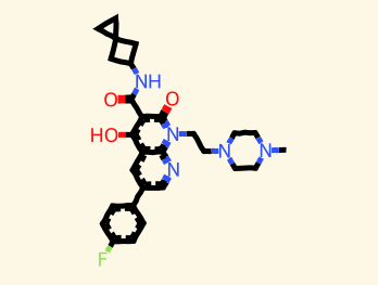 CN1CCN(CCn2c(=O)c(C(=O)NC3CC4(CC4)C3)c(O)c3cc(-c4ccc(F)cc4)cnc32)CC1